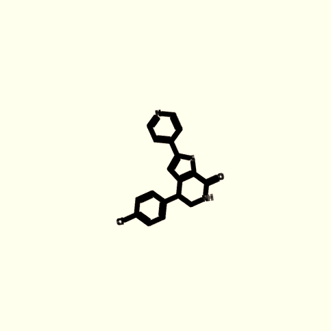 O=C1NCC(c2ccc(Cl)cc2)c2cc(-c3ccncc3)sc21